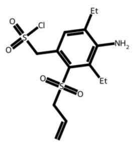 C=CCS(=O)(=O)c1c(CS(=O)(=O)Cl)cc(CC)c(N)c1CC